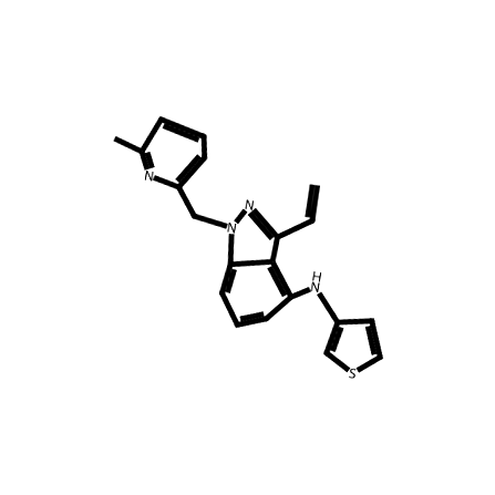 C=Cc1nn(Cc2cccc(C)n2)c2cccc(Nc3ccsc3)c12